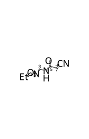 CCON=CNC(=O)[CH]C#N